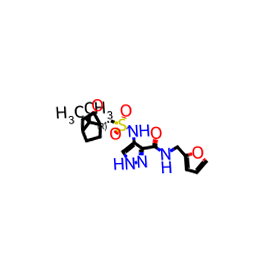 CC1(C)C2CC[C@]1(CS(=O)(=O)Nc1c[nH]nc1C(=O)NCc1ccco1)C(=O)C2